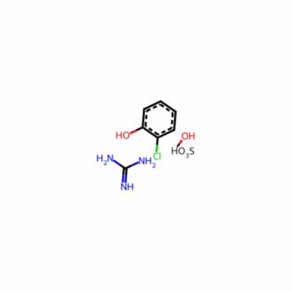 N=C(N)N.O=S(=O)(O)O.Oc1ccccc1Cl